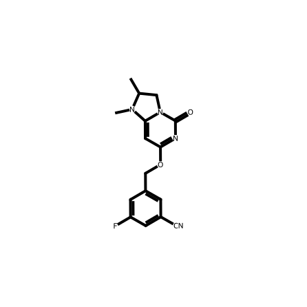 CC1Cn2c(cc(OCc3cc(F)cc(C#N)c3)nc2=O)N1C